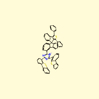 c1ccc(-c2sc(-c3ccccc3)c3c2-c2ccccc2C32c3ccccc3-c3c(-c4nc(-c5cccc6c5sc5ccccc56)nc(-c5cccc6c5sc5ccccc56)n4)cccc32)cc1